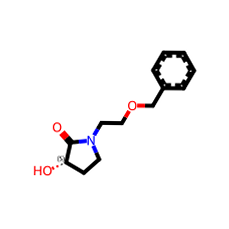 O=C1[C@@H](O)CCN1CCOCc1ccccc1